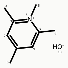 Cc1cc(C)[n+](C)c(C)c1.[OH-]